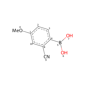 COc1ccc(B(O)O)c(C#N)c1